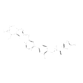 Cc1cc(-c2cc(Nc3cc4n(n3)CCN(C)C4C)ncn2)ccc1CNC(=O)c1cnc(C(C)(C)C)s1